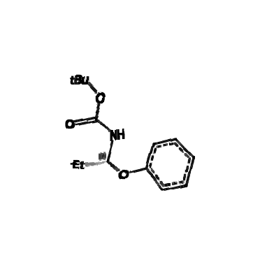 C[CH][C@H](NC(=O)OC(C)(C)C)Oc1ccccc1